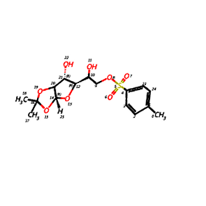 Cc1ccc(S(=O)(=O)OCC(O)[C@H]2O[C@@H]3OC(C)(C)OC3[C@@H]2O)cc1